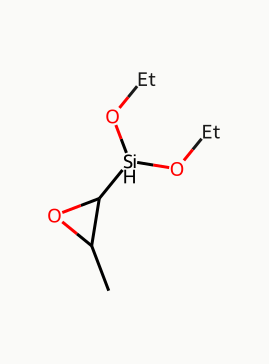 CCO[SiH](OCC)C1OC1C